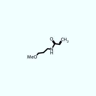 [CH2]OCCCNC(=O)C=C